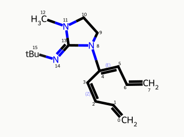 C=C/C=C\C(=C/C=C)N1CCN(C)C1=NC(C)(C)C